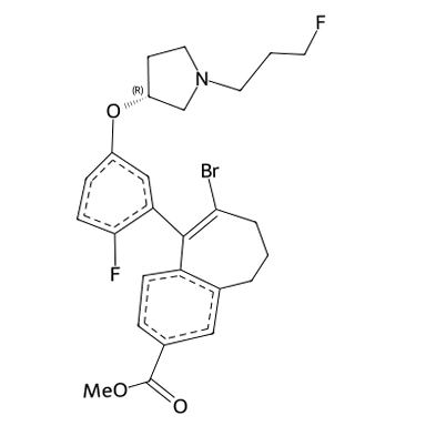 COC(=O)c1ccc2c(c1)CCCC(Br)=C2c1cc(O[C@@H]2CCN(CCCF)C2)ccc1F